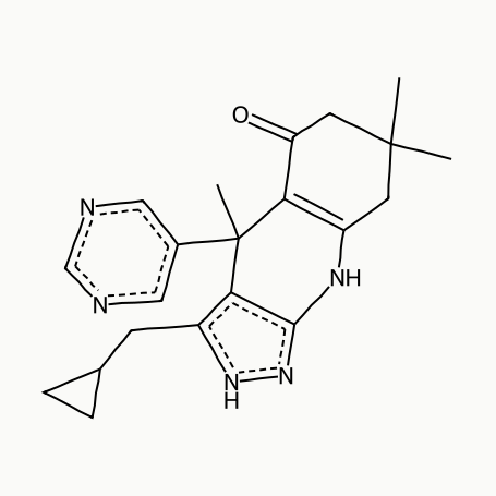 CC1(C)CC(=O)C2=C(C1)Nc1n[nH]c(CC3CC3)c1C2(C)c1cncnc1